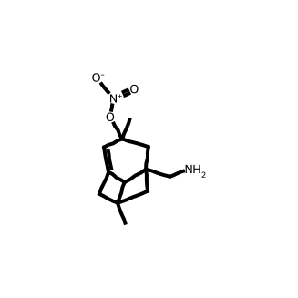 CC1(O[N+](=O)[O-])C=C2CC3(C)CC(CN)(C1)C23